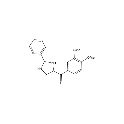 COc1ccc(C(=O)C2CNC(c3ccccc3)N2)cc1OC